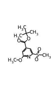 COc1cc(C(=O)OC(C)(C)C)cc(S(C)(=O)=O)n1